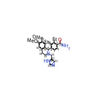 CCc1c(C(N)=O)ccc(C2c3cc(OC)c(OC)cc3CCN2Cc2cnc[nH]2)c1CC